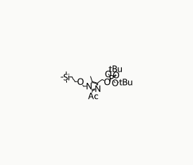 CC(=O)c1nc(COP(=O)(OC(C)(C)C)OC(C)(C)C)c(C)n1COCC[Si](C)(C)C